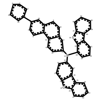 c1ccc(-c2ccc3c(ccc4cc(N(c5ccc6oc7ccccc7c6c5)c5cccc6c5sc5ccccc56)ccc43)c2)cc1